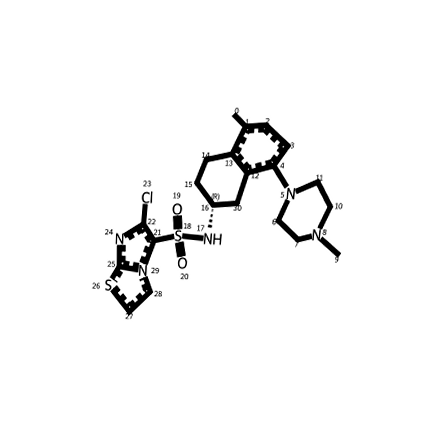 Cc1ccc(N2CCN(C)CC2)c2c1CC[C@@H](NS(=O)(=O)c1c(Cl)nc3sccn13)C2